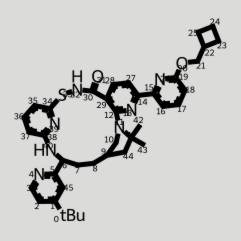 CC(C)(C)c1ccnc(C2CCC3CN(c4nc(-c5cccc(OCC6CCC6)n5)ccc4C(=O)NSc4cccc(n4)N2)C(C)(C)C3)c1